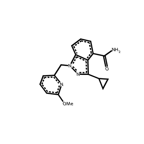 COc1cccc(Cn2nc(C3CC3)c3c(C(N)=O)cccc32)n1